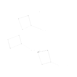 O=C([O-])C1CCC1.O=C([O-])C1CCC1.O=C([O-])C1CCC1.[In+3]